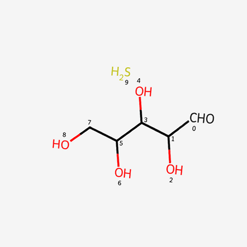 O=CC(O)C(O)C(O)CO.S